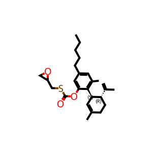 C=C(C)[C@@H]1CCC(C)=C[C@H]1c1c(C)cc(CCCCC)cc1OC(=O)SCC1CO1